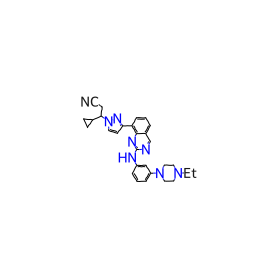 CCN1CCN(c2cccc(Nc3ncc4cccc(-c5ccn(C(CC#N)C6CC6)n5)c4n3)c2)CC1